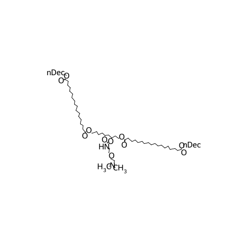 CCCCCCCCCCOC(=O)CCCCCCCCCCCCCCCCC(=O)OCCCCC(CCCCOC(=O)CCCCCCCCCCCCCCCCC(=O)OCCCCCCCCCC)OC(=O)NCCOCCN(C)C